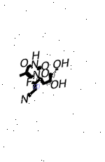 Cc1cn([C@@]2(/C(F)=C/C#N)C[C@H](O)[C@@H](CO)O2)c(=O)[nH]c1=O